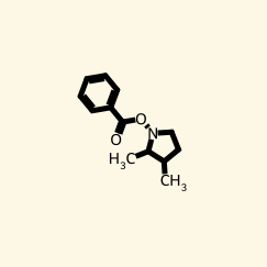 CC1CCN(OC(=O)c2ccccc2)C1C